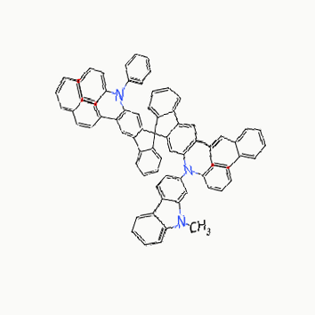 Cn1c2ccccc2c2ccc(N(c3ccccc3)c3cc4c(cc3-c3ccc5ccccc5c3)-c3ccccc3C43c4ccccc4-c4cc(-c5ccc6ccccc6c5)c(N(c5ccccc5)c5ccccc5)cc43)cc21